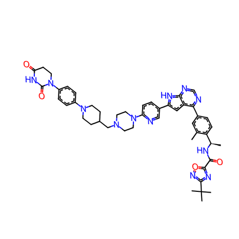 Cc1cc(-c2ncnc3[nH]c(-c4ccc(N5CCN(CC6CCN(c7ccc(N8CCC(=O)NC8=O)cc7)CC6)CC5)nc4)cc23)ccc1[C@@H](C)NC(=O)c1nc(C(C)(C)C)no1